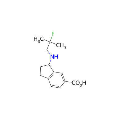 CC(C)(F)CNC1CCc2ccc(C(=O)O)cc21